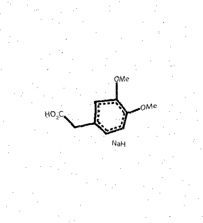 COc1ccc(CC(=O)O)cc1OC.[NaH]